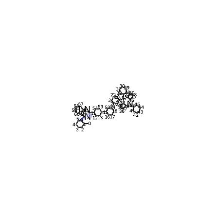 C=c1cccc/c1=C(/N=C(\N)c1ccc(-c2cccc(-c3ccc4c(c3)C3(c5ccccc5-4)c4ccccc4N(c4ccccc4)c4ccccc43)c2)cc1)c1ccccc1